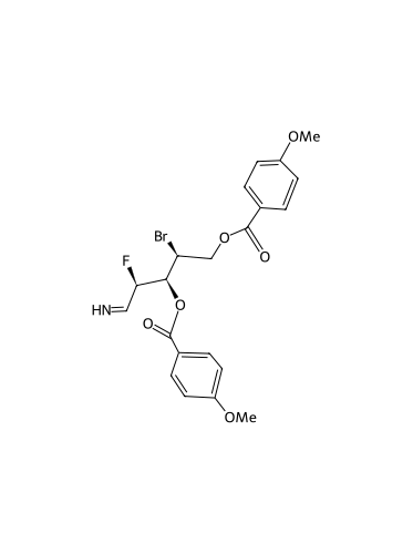 COc1ccc(C(=O)OC[C@H](Br)[C@@H](OC(=O)c2ccc(OC)cc2)[C@H](F)C=N)cc1